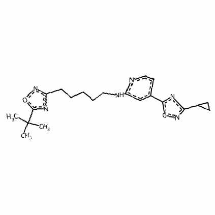 CC(C)(C)c1nc(CCCCCNc2cc(-c3nc(C4CC4)no3)ccn2)no1